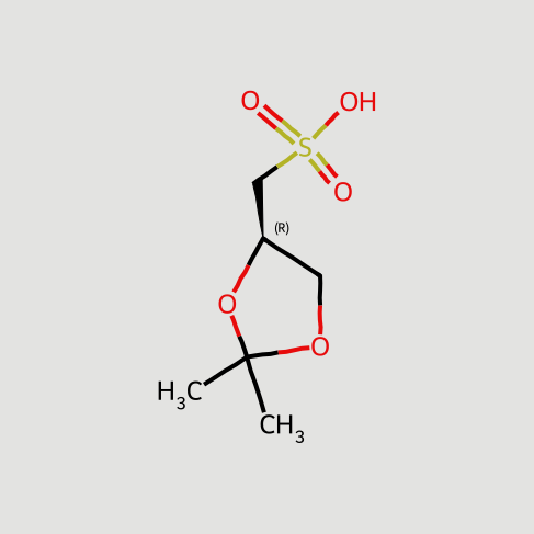 CC1(C)OC[C@H](CS(=O)(=O)O)O1